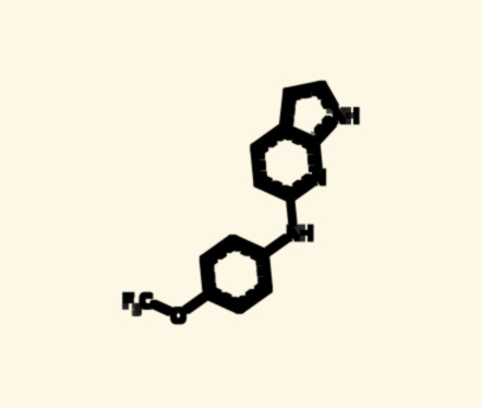 FC(F)(F)Oc1ccc(Nc2ccc3cc[nH]c3n2)cc1